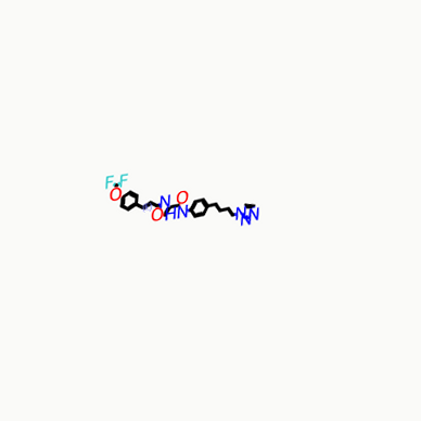 O=C(Nc1ccc(CCCCn2ccnn2)cc1)c1coc(/C=C/c2ccc(OC(F)F)cc2)n1